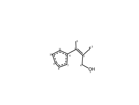 C/C(=C(\F)CO)c1ccccc1